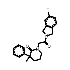 CC1(c2ccccc2)CCCN(CC(=O)N2Cc3ccc(F)cc3C2)C1=O